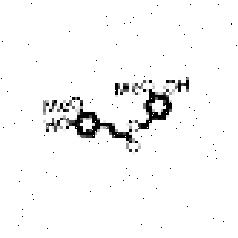 COc1cc(C=CC(=O)OCc2ccc(O)c(OC)c2)ccc1O